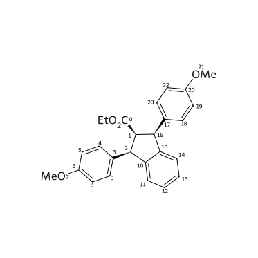 CCOC(=O)[C@@H]1[C@H](c2ccc(OC)cc2)c2ccccc2[C@@H]1c1ccc(OC)cc1